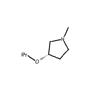 CC(C)O[C@H]1CCN(C)C1